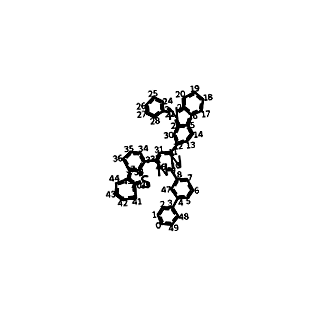 c1ccc(-c2cccc(-c3nc(-c4ccc5c6ccccc6n(-c6ccccc6)c5c4)cc(-c4cccc5c4sc4ccccc45)n3)c2)cc1